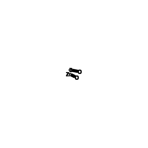 [B]=O.[O]=[Zr]